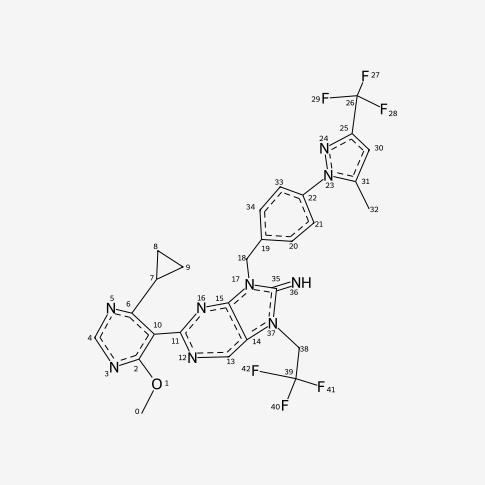 COc1ncnc(C2CC2)c1-c1ncc2c(n1)n(Cc1ccc(-n3nc(C(F)(F)F)cc3C)cc1)c(=N)n2CC(F)(F)F